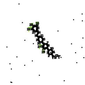 CCCC1CCC(c2ccc(C3CCC(CCc4cc(F)c(F)c(F)c4)CC3)c(F)c2F)CC1